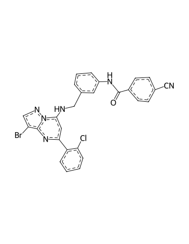 N#Cc1ccc(C(=O)Nc2cccc(CNc3cc(-c4ccccc4Cl)nc4c(Br)cnn34)c2)cc1